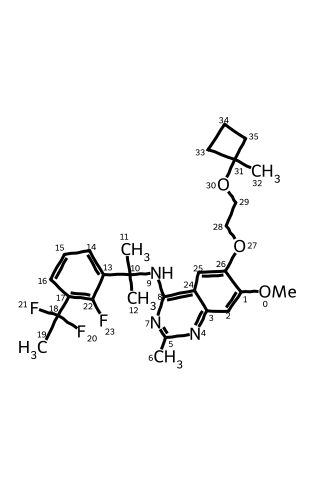 COc1cc2nc(C)nc(NC(C)(C)c3cccc(C(C)(F)F)c3F)c2cc1OCCOC1(C)CCC1